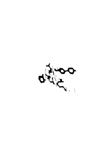 CC(C)[C@H](NC(=O)c1ccc(-c2ccc(F)cc2)cc1)C(=O)N[C@@H](Cc1ccccc1)C(=O)N[C@@H](C)C(=O)NC(CCC(N)=O)C(O)C(F)(F)F